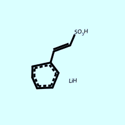 O=S(=O)(O)C=Cc1ccccc1.[LiH]